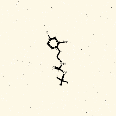 CC(C)(C)OC(=O)NCCc1ccc(F)cc1Br